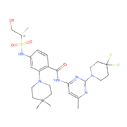 Cc1cc(NC(=O)c2ccc(NS(=O)(=O)[C@@H](C)CO)cc2N2CC[Si](C)(C)CC2)nc(N2CCC(F)(F)CC2)n1